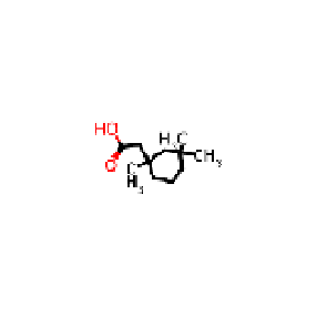 CC1(C)CCCC(C)(CC(=O)O)C1